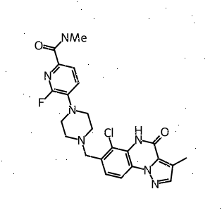 CNC(=O)c1ccc(N2CCN(Cc3ccc4c([nH]c(=O)c5c(C)cnn54)c3Cl)CC2)c(F)n1